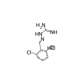 Cl.N=C(N)N/N=C/c1c(Cl)cccc1Cl